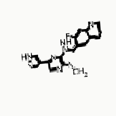 C=Nc1ncc(-c2cn[nH]c2)nc1N(N)Cc1cc2cccnc2cc1F